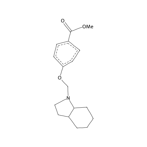 COC(=O)c1ccc(OCN2CCC3CCCCC32)cc1